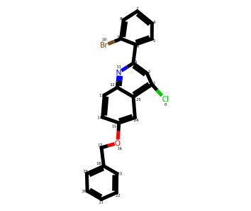 Clc1cc(-c2ccccc2Br)nc2ccc(OCc3ccccc3)cc12